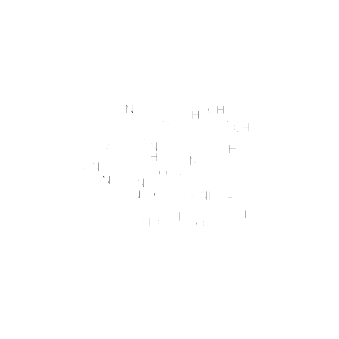 CC(C)(C)C(NC(=O)C(F)(F)F)C(=O)N1C[C@H]2[C@@H]([C@H]1C(=O)NC(C#N)c1cnn3cccnc13)C2(C)C